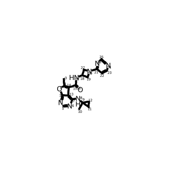 Cc1oc2ncnc(NC3(C)CC3)c2c1C(=O)NC1CN(c2ccncn2)C1